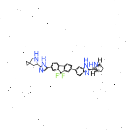 FC1(F)c2cc(-c3ccc4nc([C@H]5N[C@@H]6CC[C@H]5C6)[nH]c4c3)ccc2-c2ccc(-c3cnc(C4CC5(CC5)CN4)[nH]3)cc21